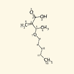 C=C(C(=O)O)C(C)OCCCCC